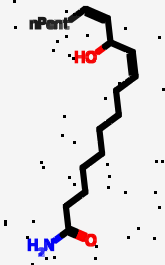 CCCCC/C=C\C(O)/C=C\CCCCCCCC(N)=O